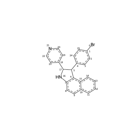 Brc1ccc(C2c3c(ccc4ccccc34)NC2c2ccncc2)cc1